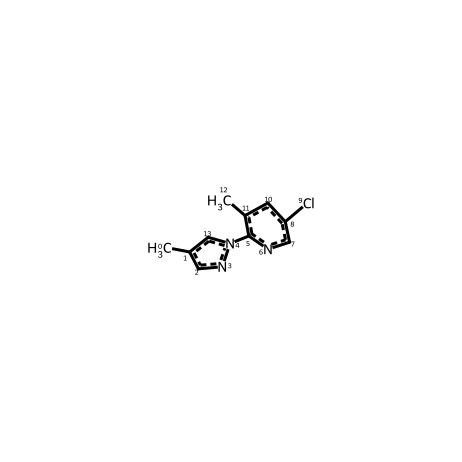 Cc1cnn(-c2ncc(Cl)cc2C)c1